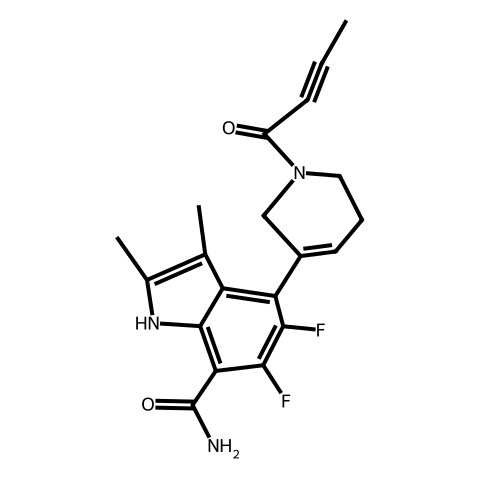 CC#CC(=O)N1CCC=C(c2c(F)c(F)c(C(N)=O)c3[nH]c(C)c(C)c23)C1